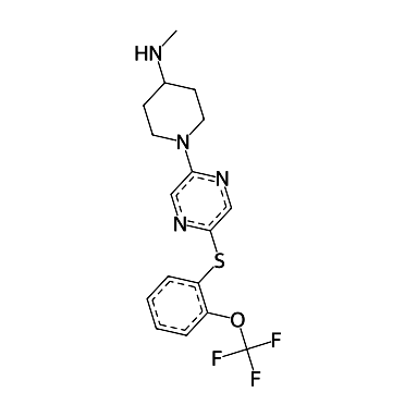 CNC1CCN(c2cnc(Sc3ccccc3OC(F)(F)F)cn2)CC1